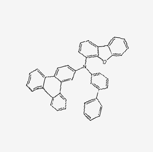 c1ccc(-c2cccc(N(c3ccc4c5ccccc5c5ccccc5c4c3)c3cccc4c3oc3ccccc34)c2)cc1